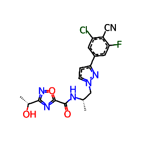 C[C@@H](Cn1ccc(-c2cc(F)c(C#N)c(Cl)c2)n1)NC(=O)c1nc([C@@H](C)O)no1